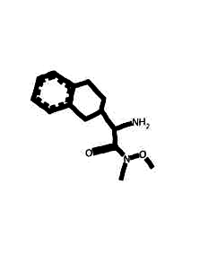 CON(C)C(=O)C(N)C1CCc2ccccc2C1